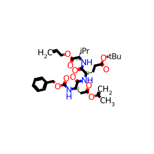 C=CCOC(=O)[C@@H](NC(=O)[C@H](CCC(=O)OC(C)(C)C)NC(=O)[C@H](CC(=O)OC(=C)C)NC(=O)OCc1ccccc1)C(C)C